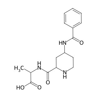 CC(NC(=O)C1CC(NC(=O)c2ccccc2)CCN1)C(=O)O